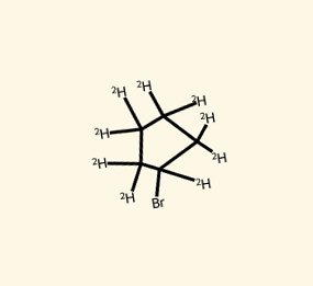 [2H]C1([2H])C([2H])([2H])C([2H])([2H])C([2H])(Br)C1([2H])[2H]